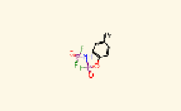 CC(C)c1ccc(OP(=O)(F)NP(=O)(F)F)cc1